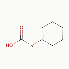 O=C(O)SC1=CCCCC1